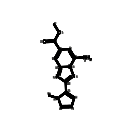 COC(=O)c1cc(N)n2nc(-c3cccn3C)nc2c1